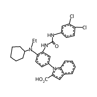 CCN(c1ccc(-n2c(C(=O)O)cc3ccccc32)cc1NC(=O)Nc1ccc(Cl)c(Cl)c1)C1CCCCC1